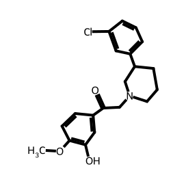 COc1ccc(C(=O)CN2CCCC(c3cccc(Cl)c3)C2)cc1O